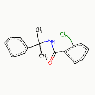 CC(C)(NC(=O)c1ccccc1Cl)c1ccccc1